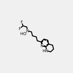 ON(CCCCc1ccc2c(n1)NCCC2)CC(F)F